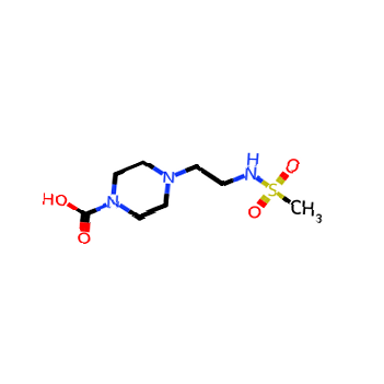 CS(=O)(=O)NCCN1CCN(C(=O)O)CC1